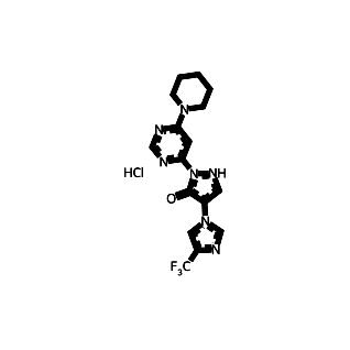 Cl.O=c1c(-n2cnc(C(F)(F)F)c2)c[nH]n1-c1cc(N2CCCCC2)ncn1